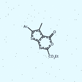 CCOC(=O)c1nc2sc(C(C)=O)c(C)c2c(=O)o1